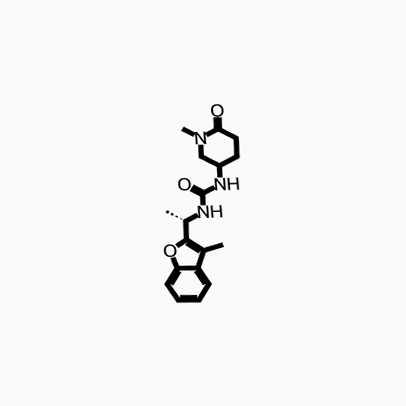 Cc1c([C@H](C)NC(=O)NC2CCC(=O)N(C)C2)oc2ccccc12